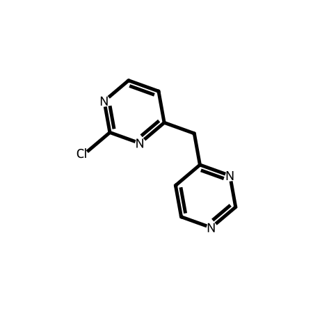 Clc1nccc(Cc2ccncn2)n1